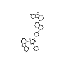 c1ccc(-c2nc(-c3ccc(-c4cccc5c(-c6cccc7oc8cnccc8c67)cccc45)cc3)nc(-c3cccc4oc5cnccc5c34)n2)cc1